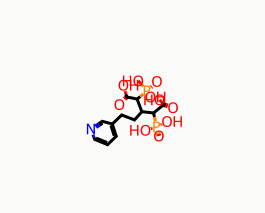 O=C(O)C(C(CCc1cccnc1)C(C(=O)O)P(=O)(O)O)P(=O)(O)O